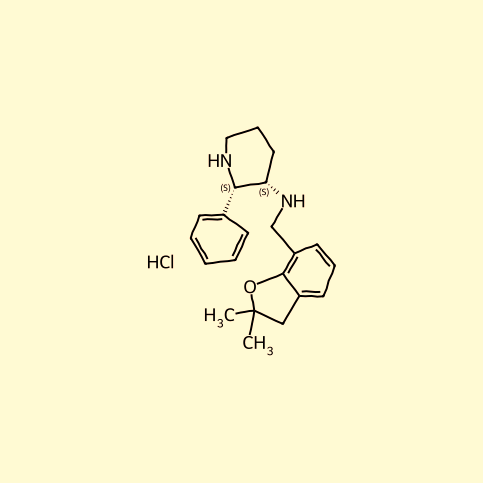 CC1(C)Cc2cccc(CN[C@H]3CCCN[C@H]3c3ccccc3)c2O1.Cl